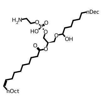 CCCCCCCC/C=C\CCCCCCCC(=O)O[C@H](COC(O)CCCCCCCCCCCCCCC)COP(=O)(O)OCCN